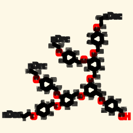 CCCCCCCCCCCCOc1ccc(COc2ccc(COc3cc(COc4ccc(CO)cc4)cc(OCc4ccc(OCc5ccc(OCCCCCCCCCCCC)cc5)c(OCc5ccc(OCCCCCCCCCCCC)cc5)c4)c3)cc2OCc2ccc(OCCCCCCCCCCCC)cc2)cc1